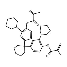 C=C(C)C(=O)Oc1ccc(C2(c3ccc(OC(=O)C(=C)C)c(C4CCCCC4)c3)CCCCC2)cc1C1CCCCC1